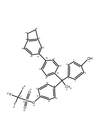 CC(c1ccc(O)cc1)(c1ccc(OS(=O)(=O)C(F)(F)F)cc1)c1ccc(-c2ccc3c(c2)CC3)cc1